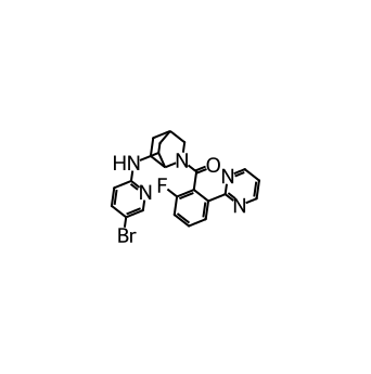 O=C(c1c(F)cccc1-c1ncccn1)N1CC2CCC1C(Nc1ccc(Br)cn1)C2